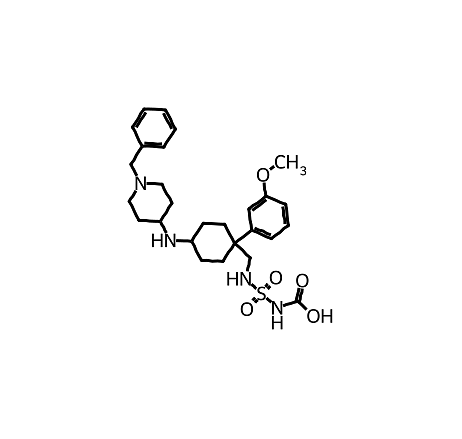 COc1cccc(C2(CNS(=O)(=O)NC(=O)O)CCC(NC3CCN(Cc4ccccc4)CC3)CC2)c1